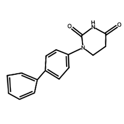 O=C1CCN(c2ccc(-c3ccccc3)cc2)C(=O)N1